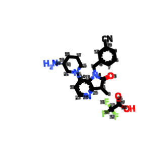 CC1C(=O)N(Cc2cccc(C#N)c2)c2c(N3CCC[C@@H](N)C3)ccnc21.O=C(O)C(F)(F)F